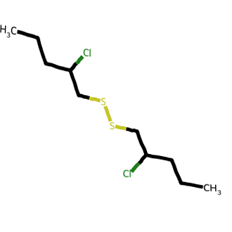 CCCC(Cl)CSSCC(Cl)CCC